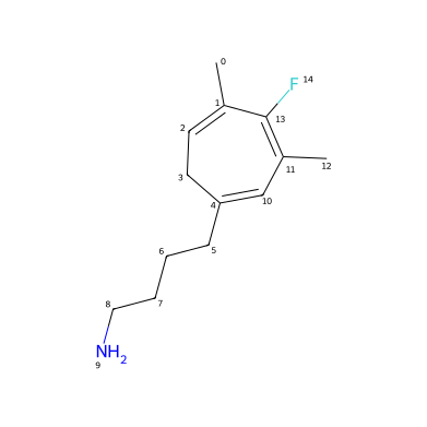 CC1=CCC(CCCCN)=CC(C)=C1F